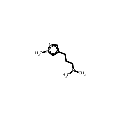 CN(C)CCCc1cnn(C)c1